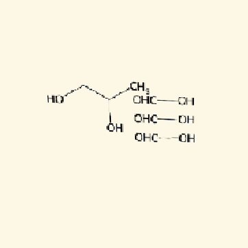 CC(O)CO.O=CO.O=CO.O=CO